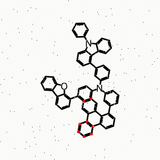 c1ccc(-c2ccccc2-c2c(-c3ccccc3)cccc2-c2cccc(N(c3ccc(-c4cccc5c4oc4ccccc45)cc3)c3cccc(-c4cccc5c4c4ccccc4n5-c4ccccc4)c3)c2)cc1